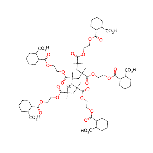 CCC(C)(CC(C)(CC(C)(CC(C)(CC(C)(C)C(=O)OCCOC(=O)C1CCCCC1C(=O)O)C(=O)OCCOC(=O)C1CCCCC1C(=O)O)C(=O)OCCOC(=O)C1CCCCC1C(=O)O)C(=O)OCCOC(=O)C1CCCCC1C(=O)O)C(=O)OCCOC(=O)C1CCCCC1C(=O)O